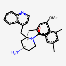 COc1cccc(C[C@@]2(Cc3ccnc4ccccc34)C[C@@H](N)CCN2C(=O)c2cc(C)cc(C)c2)c1